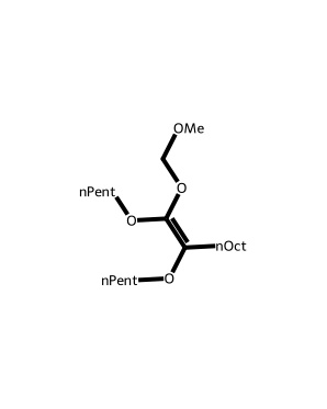 CCCCCCCCC(OCCCCC)=C(OCCCCC)OCOC